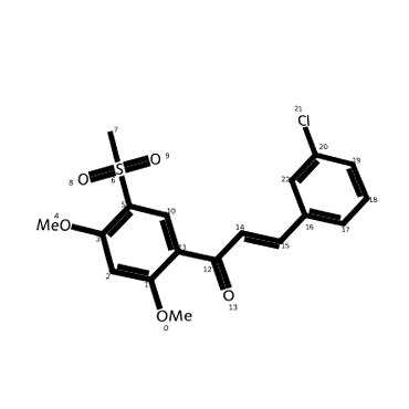 COc1cc(OC)c(S(C)(=O)=O)cc1C(=O)C=Cc1cccc(Cl)c1